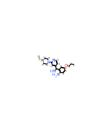 CCCOc1ccc(N)c(C(=N)c2ccnc(N3CCN(SC)CC3)c2)c1